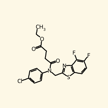 CCOC(=O)CCC(=O)N(Cc1nc2c(F)c(F)ccc2s1)c1ccc(Cl)cc1